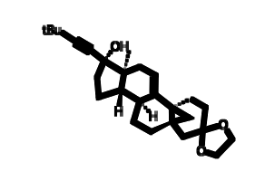 CC(C)(C)C#C[C@]1(O)CC[C@H]2[C@@H]3CC[C@@]45CC6(CC[C@@]4(C5)C3=CC[C@@]21C)OCCO6